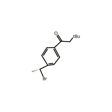 C[C@@H](Br)c1ccc(C(=O)CC(C)(C)C)cc1